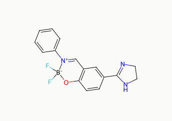 F[B-]1(F)Oc2ccc(C3=NCCN3)cc2C=[N+]1c1ccccc1